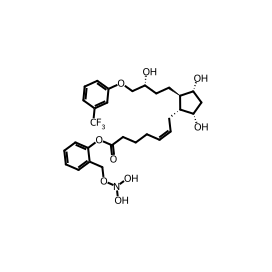 O=C(CCC/C=C\C[C@@H]1[C@@H](CC[C@@H](O)COc2cccc(C(F)(F)F)c2)[C@H](O)C[C@@H]1O)Oc1ccccc1CON(O)O